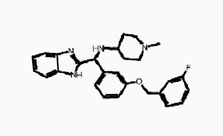 CN1CCC(NC(c2cccc(OCc3cccc(F)c3)c2)c2nc3ccccc3[nH]2)CC1